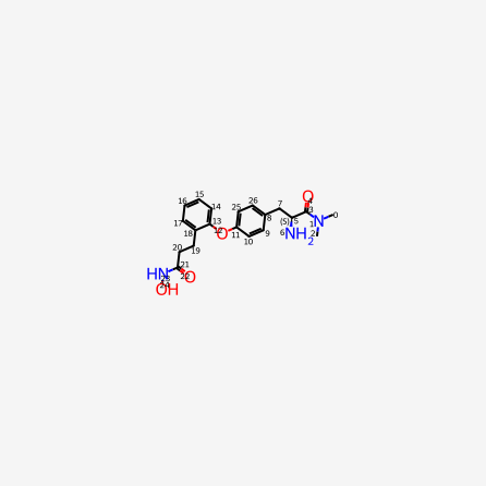 CN(C)C(=O)[C@@H](N)Cc1ccc(Oc2ccccc2CCC(=O)NO)cc1